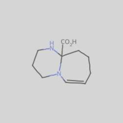 O=C(O)C12CCCC=CN1CCCN2